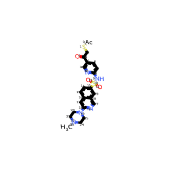 CC(=O)SCC(=O)c1ccc(NS(=O)(=O)c2ccc3cc(N4CCN(C)CC4)ncc3c2)nc1